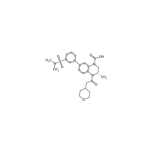 C[C@H]1CN(C(=O)O)c2cc(-c3cccc(S(=O)(=O)N(C)C)c3)ccc2N1C(=O)CC1CCOCC1